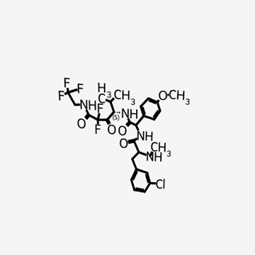 CNC(Cc1cccc(Cl)c1)C(=O)NC(C(=O)N[C@H](C(=O)C(F)(F)C(=O)NCC(F)(F)F)C(C)C)c1ccc(OC)cc1